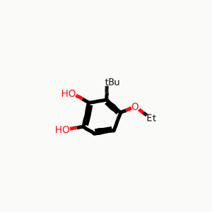 CCOc1ccc(O)c(O)c1C(C)(C)C